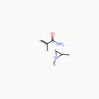 C=C(C)C(N)=O.CC1CN1C